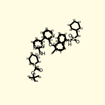 Cc1ccc2c(NS(=O)(=O)CC3CCCCC3)cccc2c1Oc1ncccc1-c1ccnc(N[C@H]2CCCN(C(=O)OC(C)(C)C)C2)n1